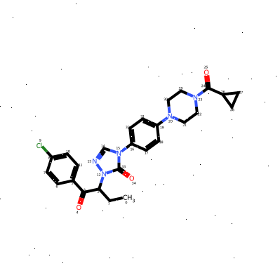 CCC(C(=O)c1ccc(Cl)cc1)n1ncn(-c2ccc(N3CCN(C(=O)C4CC4)CC3)cc2)c1=O